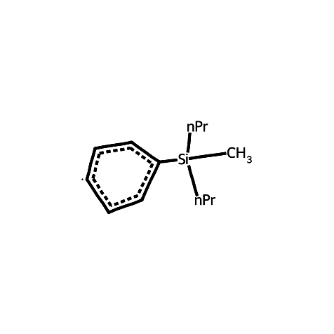 CCC[Si](C)(CCC)c1cc[c]cc1